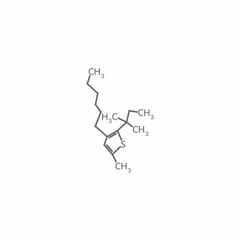 CCCCCCc1cc(C)sc1C(C)(C)CC